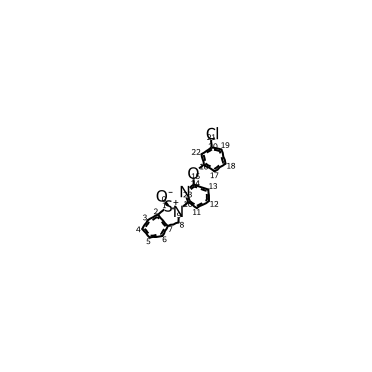 [O-][S+]1c2ccccc2CN1c1cccc(Oc2cccc(Cl)c2)n1